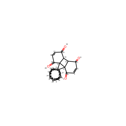 O=C1C=CC(=O)C2(c3ccccc3)C1C1C(=O)C=CC(=O)C12c1ccccc1